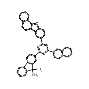 CC1(C)c2ccccc2-c2ccc(-c3nc(-c4ccc5ccccc5c4)nc(-c4ccc5oc6c7ccccc7ccc6c5c4)n3)cc21